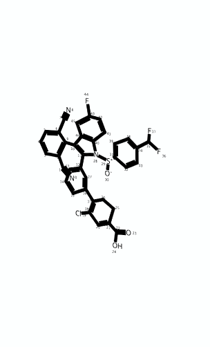 N#Cc1cccc(C#N)c1-c1c(-c2cccc(C3=C(Cl)C=C(C(=O)O)CC3)c2)n([S+]([O-])c2ccc(C(F)F)cc2)c2ccc(F)cc12